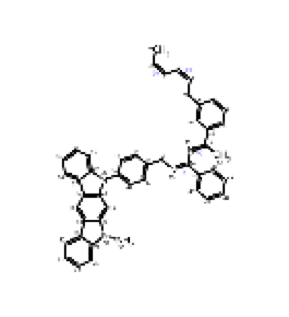 C/C=C\C=C/Cc1cccc(/C(C)=N/C(=N\Cc2ccc(-n3c4ccccc4c4cc5c6ccccc6n(N)c5cc43)cc2)c2ccccc2)c1